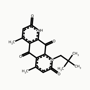 Cc1cc(=O)[nH]c2c1C(=O)c1c(C)cc(=O)n(CC(C)(C)C)c1C2=O